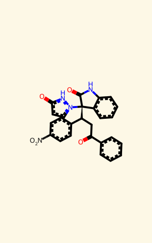 O=C(CC(c1ccc([N+](=O)[O-])cc1)[C@@]1(n2ccc(=O)[nH]2)C(=O)Nc2ccccc21)c1ccccc1